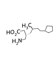 C[C@@H](CCC1CCCC1)C[C@H](CN)CC(=O)O